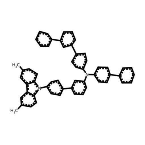 Cc1ccc2c(c1)c1cc(C)ccc1n2-c1ccc(-c2cccc(N(c3ccc(-c4ccccc4)cc3)c3ccc(-c4cccc(-c5ccccc5)c4)cc3)c2)cc1